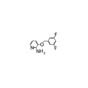 Nc1ncccc1OCc1cc(F)cc(F)c1